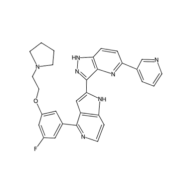 Fc1cc(OCCN2CCCC2)cc(-c2nccc3[nH]c(-c4n[nH]c5ccc(-c6cccnc6)nc45)cc23)c1